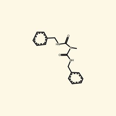 CN(C(=O)NCc1ccccc1)C(=O)NCc1ccccc1